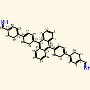 N=CC1=CC=C(C2=CC=C(c3c4ccccc4c(C4=CC=C(C5=CC=C(C=N)CC5)CC4)c4ccccc34)CC2)CC1